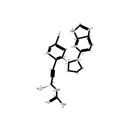 C[C@H](C#Cc1ncc(F)cc1[C@H]1CCCN1c1ccc2nc[nH]c2n1)NC(=O)O